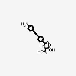 C[C@@H](O)[C@H](NC(=O)c1ccc(C#Cc2ccc(N)cc2)cc1)C(=O)O